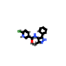 Cc1n[nH]c(-c2ccccc2)c1NC(=O)c1ccc(Cl)nc1